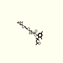 CNCCOCCOCCNC(=O)Oc1cc(C)cc(C)c1C(C)(C)CC(C)=O